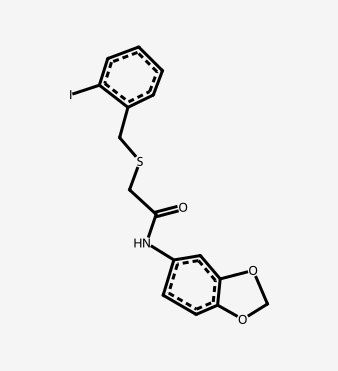 O=C(CSCc1ccccc1I)Nc1ccc2c(c1)OCO2